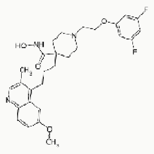 COc1ccc2ncc(C)c(CCCC3(C(=O)NO)CCN(CCOc4cc(F)cc(F)c4)CC3)c2c1